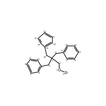 [Zr][O]CC(Cc1ccccc1)(Cc1ccccc1)Cc1ccccc1